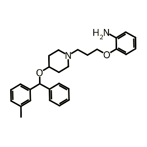 Cc1cccc(C(OC2CCN(CCCOc3ccccc3N)CC2)c2ccccc2)c1